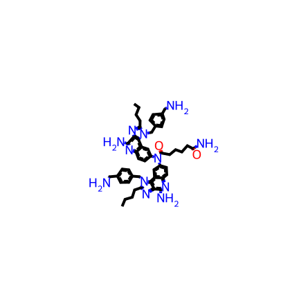 CCCCc1nc2c(N)nc3ccc(N(C(=O)CCCCC(N)=O)c4ccc5nc(N)c6nc(CCCC)n(Cc7ccc(CN)cc7)c6c5c4)cc3c2n1Cc1ccc(CN)cc1